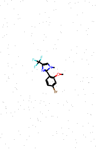 COc1cc(Br)ccc1-c1nc(C(F)(F)F)cn1C